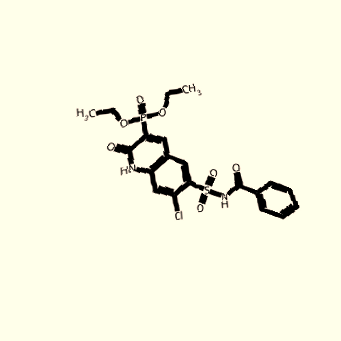 CCOP(=O)(OCC)c1cc2cc(S(=O)(=O)NC(=O)c3ccccc3)c(Cl)cc2[nH]c1=O